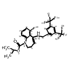 CC(C)OC(=O)N1CCC=C(NCc2cc(C(F)(F)F)cc(C(F)(F)F)c2)c2c(F)cccc21